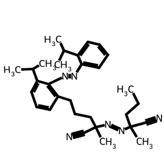 CCCC(C)(C#N)N=NC(C)(C#N)CCCc1cccc(C(C)C)c1N=Nc1ccccc1C(C)C